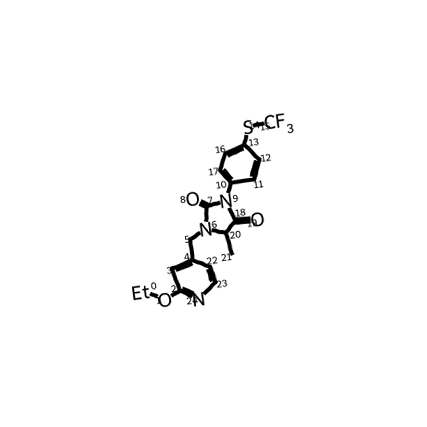 CCOc1cc(CN2C(=O)N(c3ccc(SC(F)(F)F)cc3)C(=O)C2C)ccn1